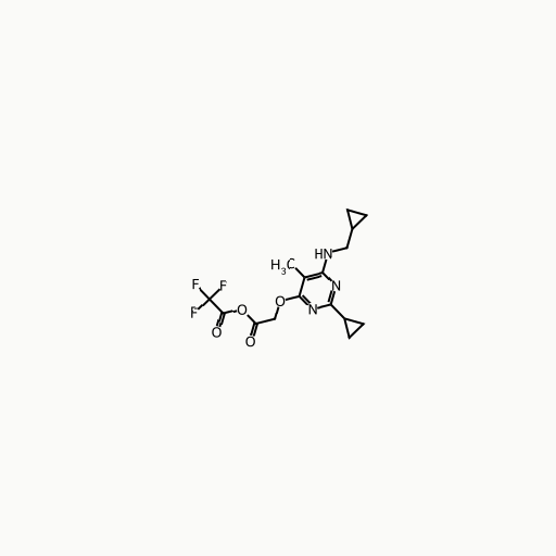 Cc1c(NCC2CC2)nc(C2CC2)nc1OCC(=O)OC(=O)C(F)(F)F